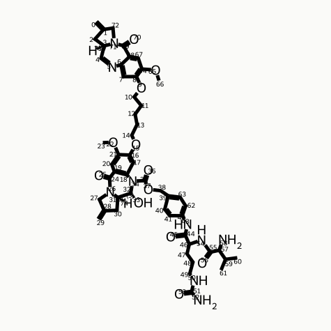 C=C1C[C@H]2C=Nc3cc(OCCCCCOc4cc5c(cc4OC)C(=O)N4CC(=C)C[C@H]4[C@H](O)N5C(=O)OCc4ccc(NC(=O)C(CCCNC(N)=O)NC(=O)C(N)C(C)C)cc4)c(OC)cc3C(=O)N2C1